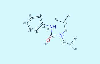 CC(C)CN(CC(C)C)C(=O)Nc1ccccc1